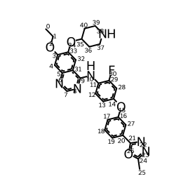 CCOc1cc2ncnc(Nc3ccc(Oc4cccc(-c5nnc(C)o5)c4)cc3F)c2cc1OC1CCNCC1